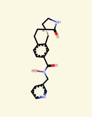 O=C(c1ccc2c(c1)C[C@@]1(CCNC1=O)CC2)N(O)Cc1cccnc1